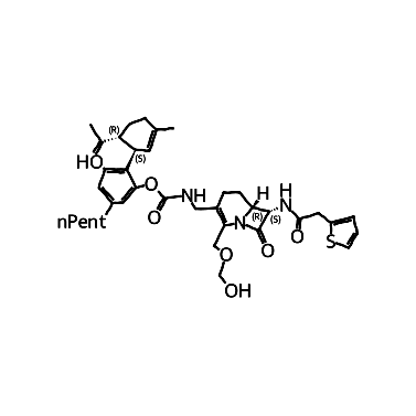 C=C(C)[C@@H]1CCC(C)=C[C@H]1c1c(O)cc(CCCCC)cc1OC(=O)NCC1=C(COCO)N2C(=O)[C@@H](NC(=O)Cc3cccs3)[C@H]2CC1